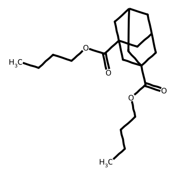 CCCCOC(=O)C12CC3CC(C1)CC(C(=O)OCCCC)(C3)C2